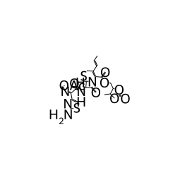 C/C=C/C1=C(C(=O)OCC2OC(=O)OC2C)N2C(=O)[C@@H](NC(=O)/C(=N\OC(C)=O)c3csc(N)n3)[C@@H]2SC1